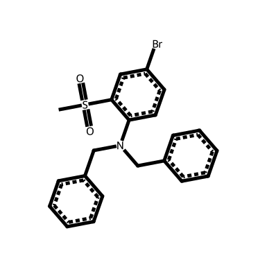 CS(=O)(=O)c1cc(Br)ccc1N(Cc1ccccc1)Cc1ccccc1